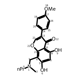 CCCN(C)Cc1c(O)cc(O)c2c(=O)c(-c3ccc(OC)cc3)coc12